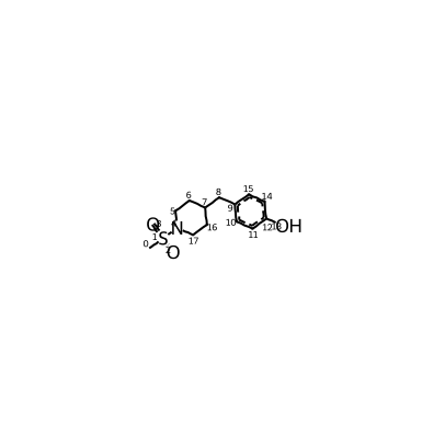 CS(=O)(=O)N1CCC(Cc2ccc(O)cc2)CC1